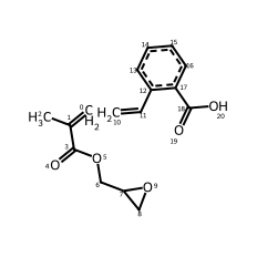 C=C(C)C(=O)OCC1CO1.C=Cc1ccccc1C(=O)O